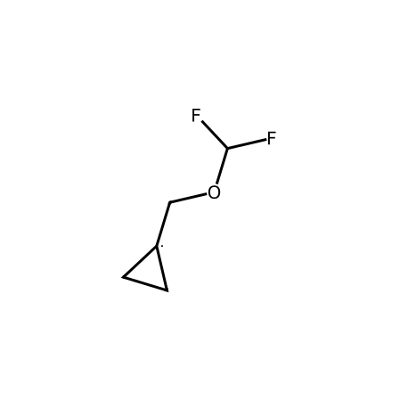 FC(F)OC[C]1CC1